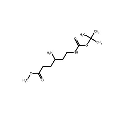 COC(=O)CCC(N)CCNC(=O)OC(C)(C)C